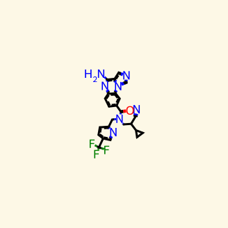 N#CC(CN(Cc1ccc(C(F)(F)F)cn1)C(=O)c1ccc2nc(N)c3cncn3c2c1)C1CC1